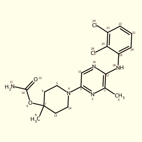 Cc1nc(N2CCC(C)(OC(N)=O)CC2)cnc1Nc1cccc(Cl)c1Cl